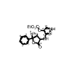 CCCC1(c2ccccc2)CC(Nc2n[nH]cc2OC(=O)OCC)C(=O)O1